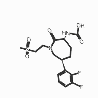 CS(=O)(=O)CCN1C[C@H](c2cccc(F)c2F)CC[C@@H](NC(=O)O)C1=O